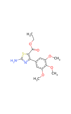 CCOC(=O)c1sc(N)nc1-c1cc(OC)c(OC)c(OC)c1